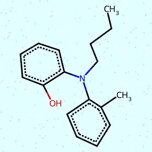 CCCCN(c1ccccc1C)c1ccccc1O